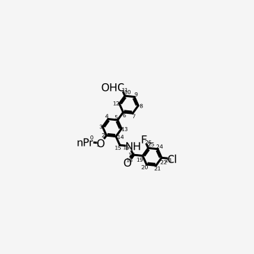 CCCOc1ccc(-c2cccc(C=O)c2)cc1CNC(=O)c1ccc(Cl)cc1F